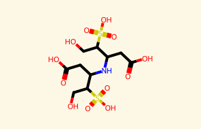 O=C(O)CC(NC(CC(=O)O)C(CO)S(=O)(=O)O)C(CO)S(=O)(=O)O